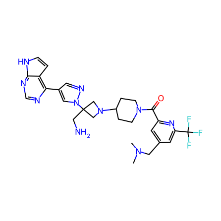 CN(C)Cc1cc(C(=O)N2CCC(N3CC(CN)(n4cc(-c5ncnc6[nH]ccc56)cn4)C3)CC2)nc(C(F)(F)F)c1